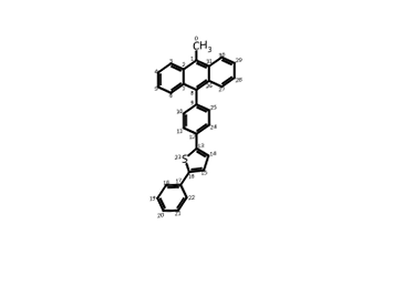 Cc1c2ccccc2c(-c2ccc(-c3ccc(-c4ccccc4)s3)cc2)c2ccccc12